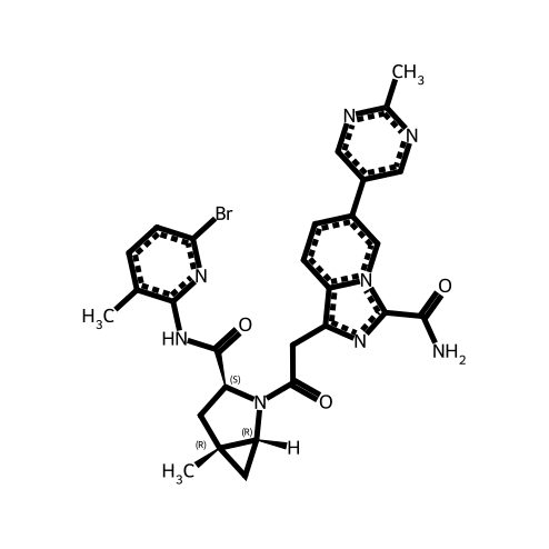 Cc1ncc(-c2ccc3c(CC(=O)N4[C@H](C(=O)Nc5nc(Br)ccc5C)C[C@@]5(C)C[C@@H]45)nc(C(N)=O)n3c2)cn1